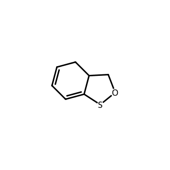 C1=CCC2COSC2=C1